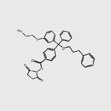 O=C(ON1C(=O)CCC1=O)c1ccc(C(OCCCc2ccccc2)(c2ccccc2)c2cccc(OCCO)c2)cc1